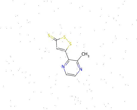 Cc1nccnc1-c1cc(=S)ss1